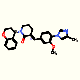 COc1cc(/C=C2\CCCN([C@H]3CCOc4ccccc43)C2=O)ccc1-n1cnc(C)c1